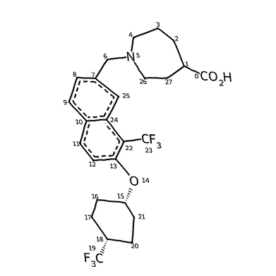 O=C(O)C1CCCN(Cc2ccc3ccc(O[C@H]4CC[C@@H](C(F)(F)F)CC4)c(C(F)(F)F)c3c2)CC1